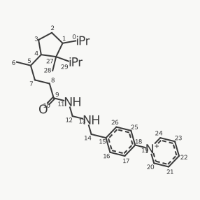 CC(C)C1CCC(C(C)CCC(=O)NCNCc2ccc(-[n+]3ccccc3)cc2)C1(C)C(C)C